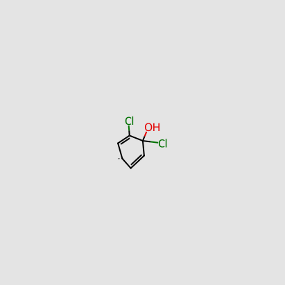 OC1(Cl)C=C[CH]C=C1Cl